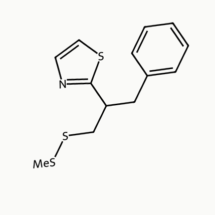 CSSCC(Cc1ccccc1)c1nccs1